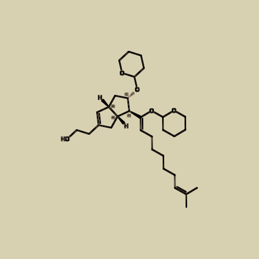 CC(C)=CCCCCCC=C(OC1CCCCO1)[C@H]1[C@@H]2CC(CCO)=C[C@@H]2C[C@@H]1OC1CCCCO1